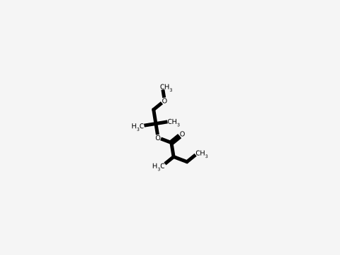 CCC(C)C(=O)OC(C)(C)COC